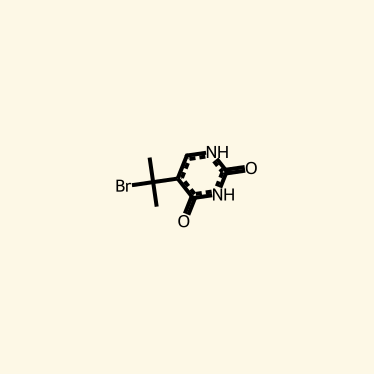 CC(C)(Br)c1c[nH]c(=O)[nH]c1=O